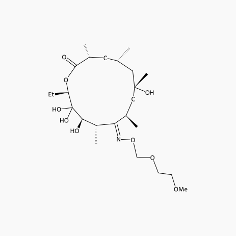 CC[C@H]1OC(=O)[C@H](C)C[C@H](C)C[C@](C)(O)C[C@@H](C)/C(=N\OCOCCOC)[C@H](C)[C@@H](O)C1(O)O